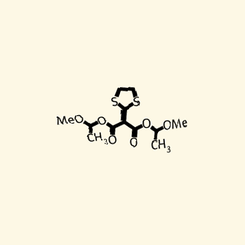 COC(C)OC(=O)C(C(=O)OC(C)OC)=C1SCCS1